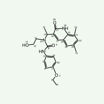 CCOc1ccc(NC(=O)N(CCO)C(C)c2cc3cc(C)cc(C)c3[nH]c2=O)cc1